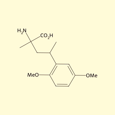 COc1ccc(OC)c(C(C)CC(C)(N)C(=O)O)c1